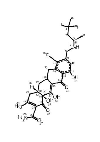 C[C@H](CC(C)(C)C)NCc1cc(O)c2c(c1F)CC1C[C@H]3CC(O)=C(C(N)=O)C(=O)[C@@]3(O)C(O)=C1C2=O